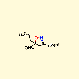 C=CCC1([C]=O)CC(CCCCC)=NO1